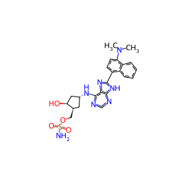 CN(C)c1ccc(-c2nc3c(N[C@@H]4C[C@@H](COS(N)(=O)=O)[C@@H](O)C4)ncnc3[nH]2)c2ccccc12